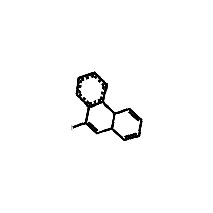 IC1=CC2C=CC=CC2c2ccccc21